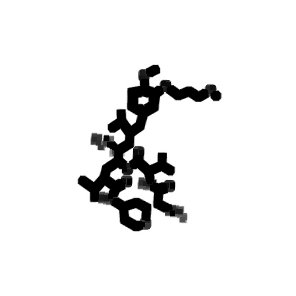 COCCCOc1cc(CC(C[C@H](N)C(CC(C(=O)NC2CCOCC2)C(C)C)OC(=O)C(NC(=O)CN)C(C)C)C(C)C)ccc1OC